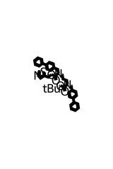 CC(C)(C)OC(=O)N(CCCN(Cc1ccc(-c2ccccc2)cc1)C(=O)OCc1cncs1)Cc1ccc(-c2ccccc2)cc1